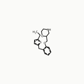 CCc1ccc(Cc2ccccc2OCC2CNCCO2)s1